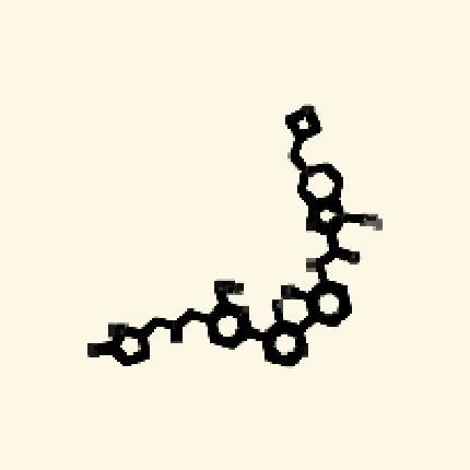 COc1nc(-c2ccnc(-c3cccc(NC(=O)c4nc5c(n4C)CCN(CC4COC4)C5)c3Cl)c2Cl)ccc1CNCC1CCC(=O)N1